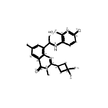 Cc1cc(C(C)Nc2ccc(Cl)nc2C(=O)O)c2nc(C3CC(F)(F)C3)n(C)c(=O)c2c1